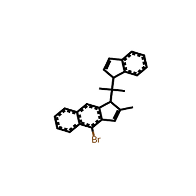 CC1=Cc2c(cc3ccccc3c2Br)C1C(C)(C)C1C=Cc2ccccc21